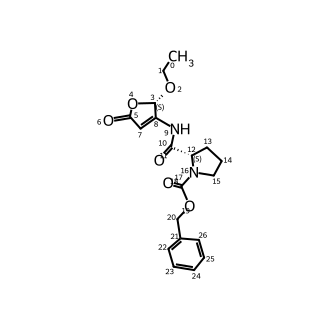 CCO[C@H]1OC(=O)C=C1NC(=O)[C@@H]1CCCN1C(=O)OCc1ccccc1